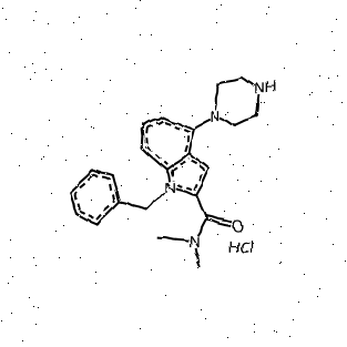 CN(C)C(=O)c1cc2c(N3CCNCC3)cccc2n1Cc1ccccc1.Cl